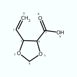 C=CC1OCOC1C(=O)O